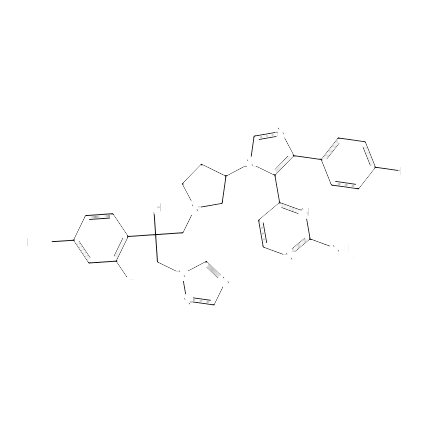 Cc1ccc(C(O)(CN2CCC(n3cnc(-c4ccc(F)cc4)c3-c3ccnc(N)n3)C2)Cn2cncn2)c(F)c1